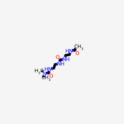 CC(=O)NCCNC(=O)NCCNC(=O)N(C)C